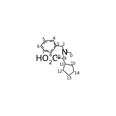 CN(Cc1ccccc1)[C@H](C(=O)O)C1CCCC1